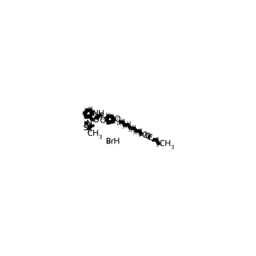 Br.CCCCCCCCCCCCCCCCOc1ccc(OCC(=O)Nc2ccccc2CN2C=C(C)SC2)cc1